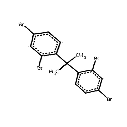 CC(C)(c1[c]cc(Br)[c]c1Br)c1[c]cc(Br)[c]c1Br